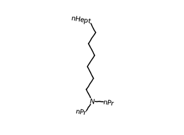 CCCCCCCCCCCCCN(CCC)CCC